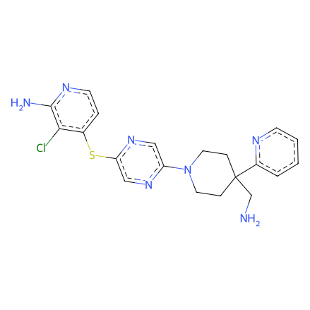 NCC1(c2ccccn2)CCN(c2cnc(Sc3ccnc(N)c3Cl)cn2)CC1